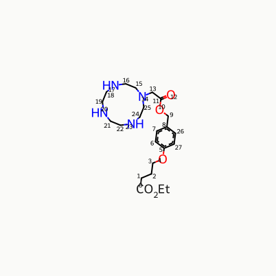 CCOC(=O)CCCOc1ccc(COC(=O)CN2CCNCCNCCNCC2)cc1